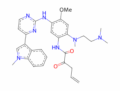 C=CCC(=O)C(=O)Nc1cc(Nc2nccc(-c3cn(C)c4ccccc34)n2)c(OC)cc1N(C)CCN(C)C